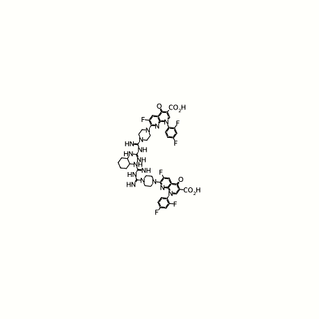 N=C(NC(=N)N1CCN(c2nc3c(cc2F)c(=O)c(C(=O)O)cn3-c2ccc(F)cc2F)CC1)NC1CCCCC1NC(=N)NC(=N)N1CCN(c2nc3c(cc2F)c(=O)c(C(=O)O)cn3-c2ccc(F)cc2F)CC1